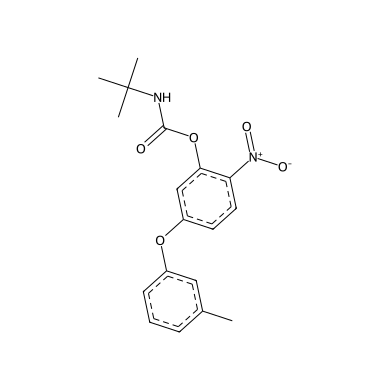 Cc1cccc(Oc2ccc([N+](=O)[O-])c(OC(=O)NC(C)(C)C)c2)c1